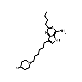 CCCCc1nc(N)c2[nH]cc(CCCCCCN3CCC(F)CC3)c2n1